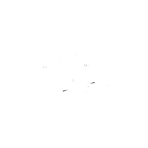 C=CC[C@H]1OC[C@@H](C2CCCCC2)N(c2cc(C(C)(C)C)sc2C(=O)OC)C1=O